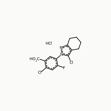 Cl.O=C(O)c1cc(-n2nc3c(c2Cl)CCCC3)c(F)cc1Cl